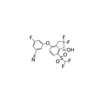 N#Cc1cc(F)cc(Oc2ccc(S(=O)(=O)C(F)F)c3c2CC(F)(F)[C@@H]3O)c1